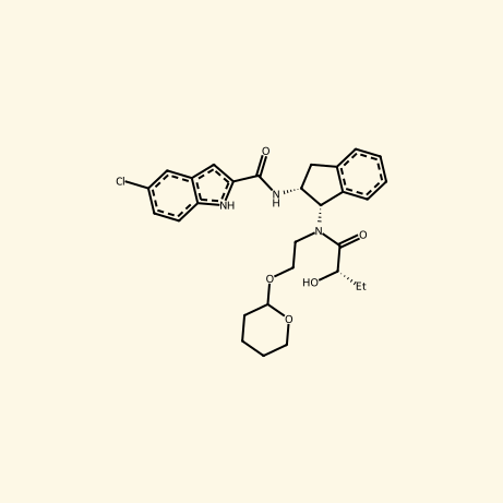 CC[C@H](O)C(=O)N(CCOC1CCCCO1)[C@H]1c2ccccc2C[C@H]1NC(=O)c1cc2cc(Cl)ccc2[nH]1